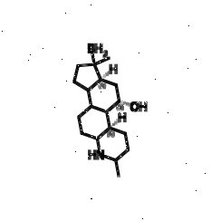 BC1(C)CCC2C3CCC4NC(C)CC[C@@H]4C3[C@@H](O)C[C@@H]21